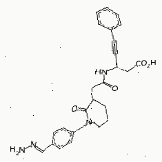 NN=Cc1ccc(N2CCCC(CC(=O)NC(C#Cc3ccccc3)CC(=O)O)C2=O)cc1